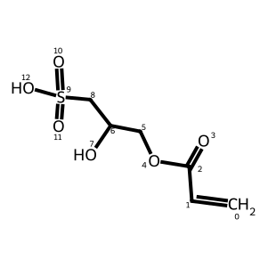 C=CC(=O)OCC(O)CS(=O)(=O)O